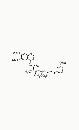 COc1cccc(OCCCN(C(=O)O)c2ccc(Oc3ccnc4cc(OC)c(OC)cc34)c(C)c2C)c1